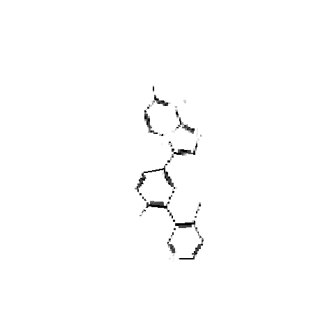 Cc1ccncc1-c1cc(-c2cnc3nc(C(F)(F)F)ccn23)ccc1F